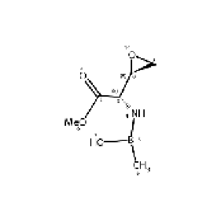 COC(=O)[C@@H](NB(C)O)[C@@H]1CO1